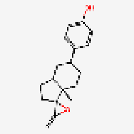 C=C1O[C@]12CCC1C[C@@H](c3ccc(O)cc3)CC[C@@]12C